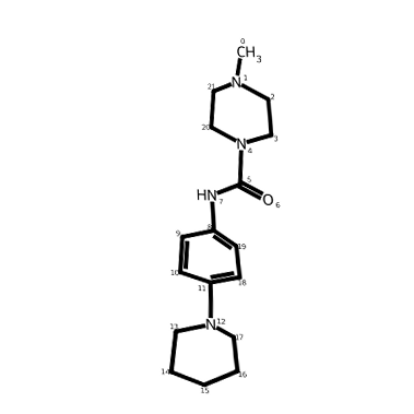 CN1CCN(C(=O)Nc2ccc(N3CCCCC3)cc2)CC1